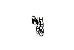 CN1C(=O)C(F)=C[C@@]2(C)C1CC[C@@H]1[C@H]2CC[C@]2(C)C(C(=O)Nc3ccccc3F)CC[C@@H]12